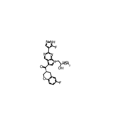 C[C@@H](O)Cn1cc(C(=O)[C@@H]2COc3ccc(F)cc3C2)c2cnc(-c3cn[nH]c3F)nc21.Cl